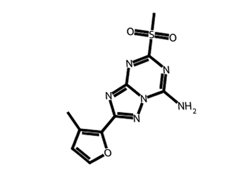 Cc1ccoc1-c1nc2nc(S(C)(=O)=O)nc(N)n2n1